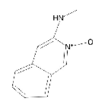 CNc1cc2ccccc2c[n+]1[O-]